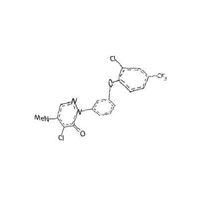 CNc1cnn(-c2cccc(Oc3ccc(C(F)(F)F)cc3Cl)c2)c(=O)c1Cl